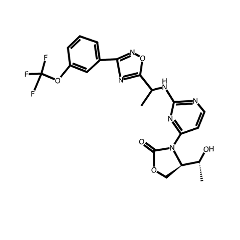 CC(Nc1nccc(N2C(=O)OC[C@@H]2[C@@H](C)O)n1)c1nc(-c2cccc(OC(F)(F)F)c2)no1